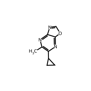 Cc1nc2ncoc2nc1C1CC1